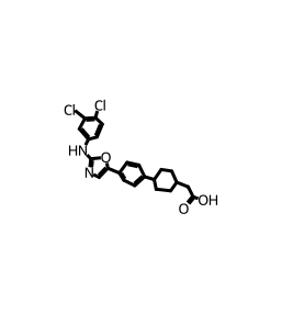 O=C(O)CC1CCC(c2ccc(-c3cnc(Nc4ccc(Cl)c(Cl)c4)o3)cc2)CC1